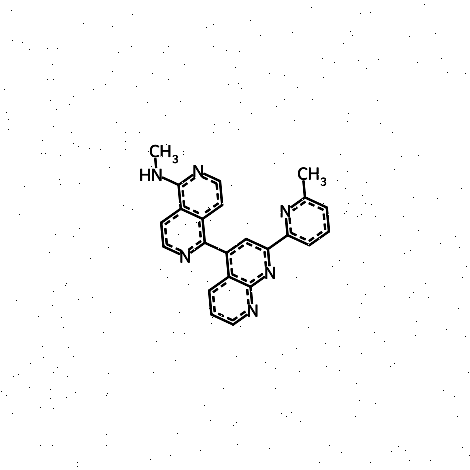 CNc1nccc2c(-c3cc(-c4cccc(C)n4)nc4ncccc34)nccc12